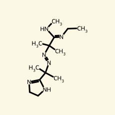 CC/N=C(\NC)C(C)(C)N=NC(C)(C)C1=NCCN1